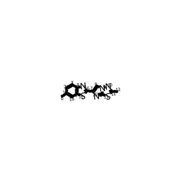 Cc1ccc2nc(-c3cn4nc(C)sc4n3)sc2c1